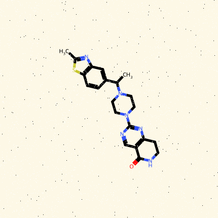 Cc1nc2cc(C(C)N3CCN(c4ncc5c(n4)CCNC5=O)CC3)ccc2s1